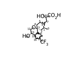 C[C@H]1C[C@@]2(CCN1C[C@@H](O)C(=O)O)OC[C@@H](O)c1cc(C(F)(F)F)sc12